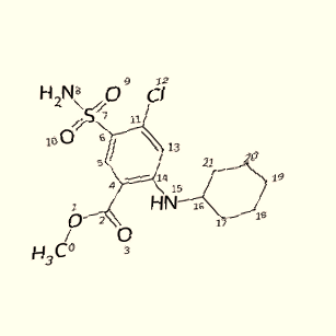 COC(=O)c1cc(S(N)(=O)=O)c(Cl)cc1NC1CCCCC1